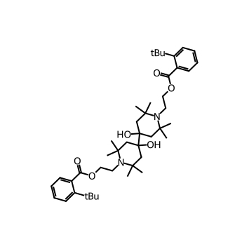 CC(C)(C)c1ccccc1C(=O)OCCN1C(C)(C)CC(O)(C2(O)CC(C)(C)N(CCOC(=O)c3ccccc3C(C)(C)C)C(C)(C)C2)CC1(C)C